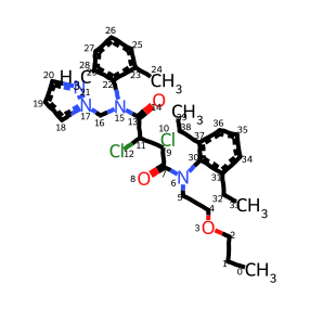 CCCOCCN(C(=O)C(Cl)C(Cl)C(=O)N(Cn1cccn1)c1c(C)cccc1C)c1c(CC)cccc1CC